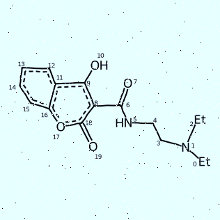 CCN(CC)CCNC(=O)c1c(O)c2ccccc2oc1=O